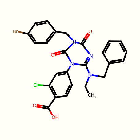 CCN(Cc1ccccc1)c1nc(=O)n(Cc2ccc(Br)cc2)c(=O)n1-c1ccc(C(=O)O)c(Cl)c1